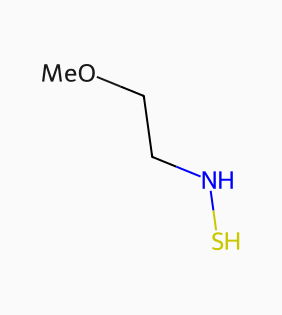 COCCNS